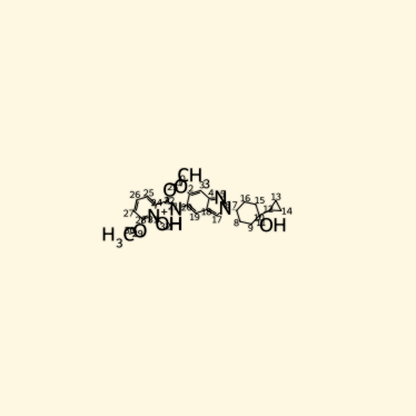 COc1cc2nn([C@H]3CC[C@@](O)(C4CC4)CC3)cc2cc1NC(=O)c1cccc(OC)[n+]1O